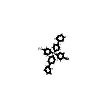 Brc1ccc(S(c2ccc(Br)cc2)(c2ccc(-c3ccccc3)cc2)c2ccc(-c3ccccc3)cc2)cc1